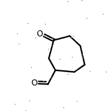 O=CC1CCCCC(=O)C1